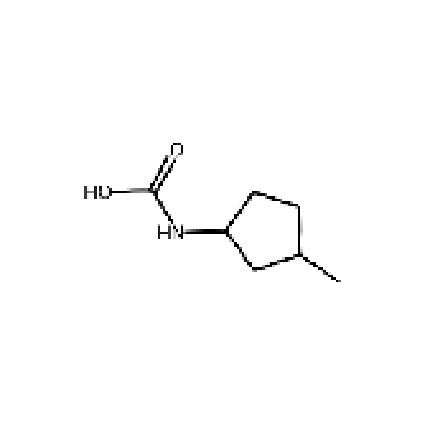 CC1CCC(NC(=O)O)C1